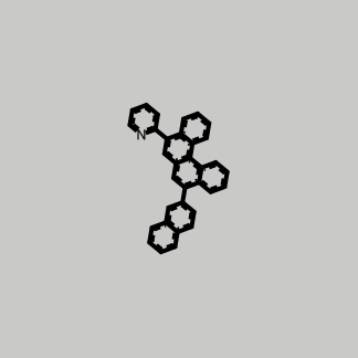 c1ccc(-c2cc3cc(-c4ccc5ccccc5c4)c4ccccc4c3c3ccccc23)nc1